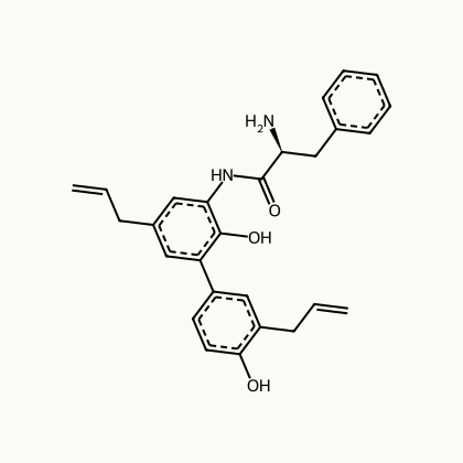 C=CCc1cc(NC(=O)[C@@H](N)Cc2ccccc2)c(O)c(-c2ccc(O)c(CC=C)c2)c1